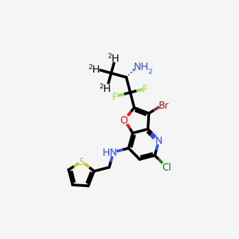 [2H]C([2H])([2H])[C@H](N)C(F)(F)c1oc2c(NCc3cccs3)cc(Cl)nc2c1Br